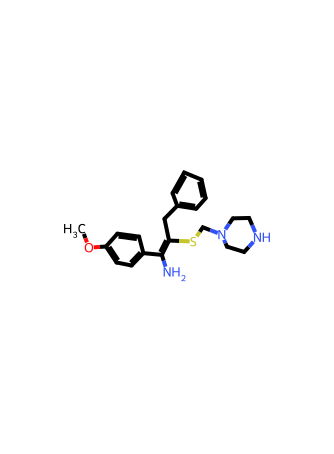 COc1ccc(/C(N)=C(\Cc2ccccc2)SCN2CCNCC2)cc1